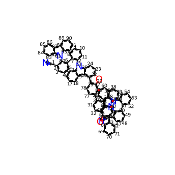 N#Cc1cccc(-c2ccccc2-n2c3ccccc3c3c4c(ccc32)oc2cc(-c3cccc5c3c3ccccc3n5-c3c(C#N)cccc3-c3ccccc3-n3c5ccccc5c5cc6oc7ccccc7c6cc53)ccc24)c1-n1c2ccccc2c2ccccc21